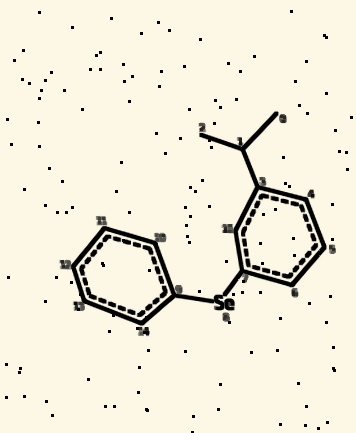 CC(C)c1cccc([Se]c2ccccc2)c1